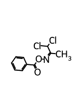 CC(=NOC(=O)c1ccccc1)C(Cl)Cl